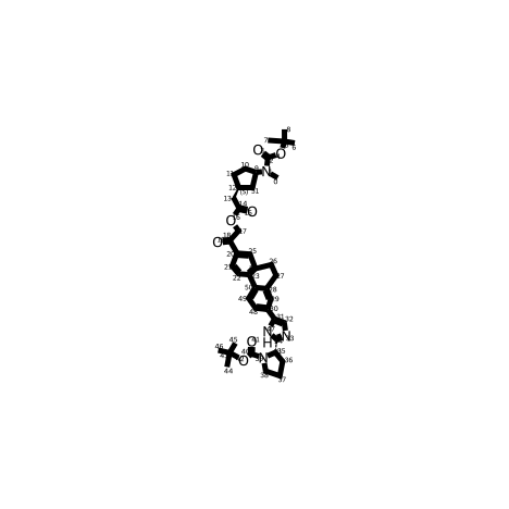 CN(C(=O)OC(C)(C)C)C1CC[C@H](CC(=O)OCC(=O)c2ccc3c(c2)CCc2cc(-c4cnc([C@@H]5CCCN5C(=O)OC(C)(C)C)[nH]4)ccc2-3)C1